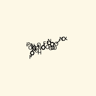 CC(C)n1cc(C(=O)Nc2ccc(Oc3ccnc4cc(OCCCN5CCC(C)(C)CC5)c5c(c34)OCCO5)c(F)c2)c(=O)n(-c2ccc(F)cc2)c1=O